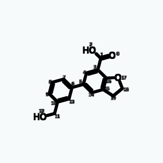 O=C(O)c1cc(-c2cccc(CO)c2)cc2c1OCC2